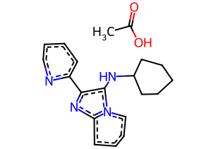 CC(=O)O.c1ccc(-c2nc3ccccn3c2NC2CCCCC2)nc1